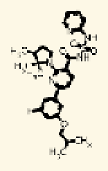 CC(C)COc1cc(F)cc(-c2ccc(C(=O)NS(=O)(=O)Nc3ccccn3)c(N3CCC(C)C3(C)C)n2)c1